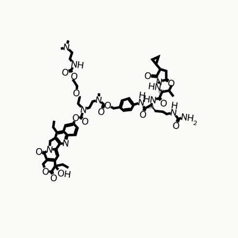 CCc1c2c(nc3ccc(OC(=O)N(CCOCCOC(=O)NCCN(C)C)CCN(C)C(=O)OCc4ccc(NC(=O)[C@H](CCCNC(N)=O)NC(=O)[C@@H](NN5C(=O)CC(C6CC6)C5=O)C(C)C)cc4)cc13)-c1cc3c(c(=O)n1C2)COC(=O)C3(O)CC